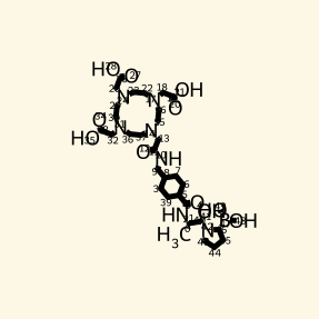 C[C@@H](NC(=O)C1CCC(CNC(=O)CN2CCN(CC(=O)O)CCN(CC(=O)O)CCN(CC(=O)O)CC2)CC1)[C@@H](O)N1CCC[C@H]1B(O)O